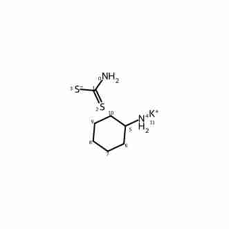 NC(=S)[S-].NC1CCCCC1.[K+]